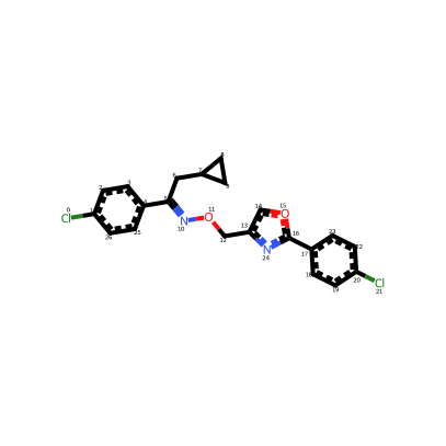 Clc1ccc(/C(CC2CC2)=N/OCc2coc(-c3ccc(Cl)cc3)n2)cc1